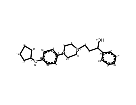 OC(CCN1CCN(c2ccc(OC3CCCC3)cc2)CC1)c1ccccc1